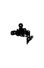 CC(C)N(CC1(N)CCOCC1)C(=O)c1occ(-c2nnc(Cc3ccc(F)cc3F)s2)c(=O)c1OCc1ccccc1